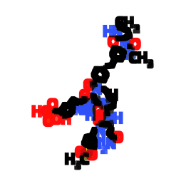 C=C1CCC(n2c(=O)n(C)c3cc(CC[C@H]4CC[C@H](C(=O)N5CC[C@H]6CC[C@@H](C(=O)N[C@@H](CCC(N)=O)C(=O)NCc7ccc(S(C)(=O)=O)cc7)N6C(=O)[C@@H](NC(=O)c6cc7cc(C(=O)P(=O)(O)O)ccc7[nH]6)C5)CC4)ccc32)C(=O)N1